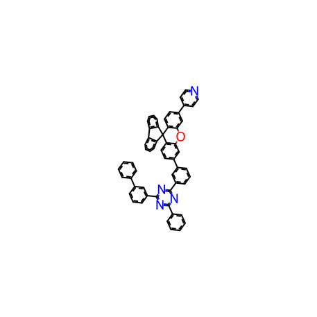 c1ccc(-c2cccc(-c3nc(-c4ccccc4)nc(-c4cccc(-c5ccc6c(c5)Oc5cc(-c7ccncc7)ccc5C65c6ccccc6-c6ccccc65)c4)n3)c2)cc1